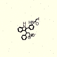 O=C(CI)Nc1cccc(-c2[nH]c3ccccc3c2C(C[N+](=O)[O-])c2ccccc2)c1